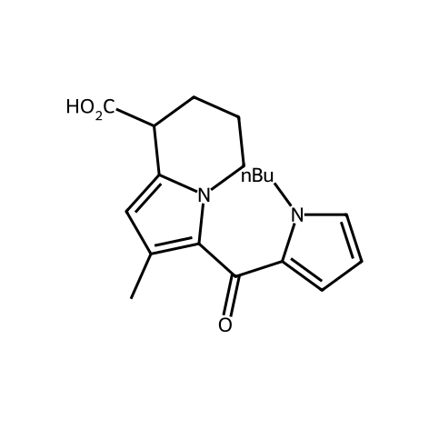 CCCCn1cccc1C(=O)c1c(C)cc2n1CCCC2C(=O)O